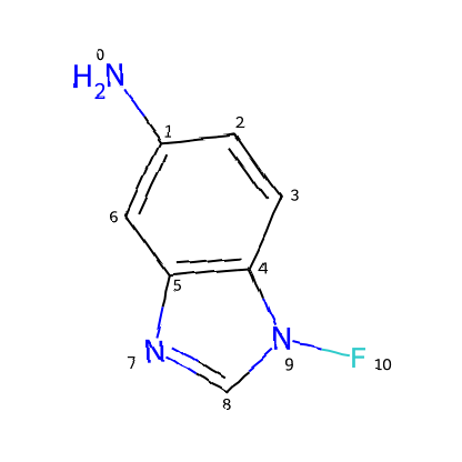 Nc1ccc2c(c1)ncn2F